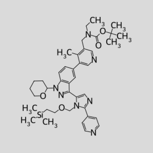 CCN(Cc1cncc(-c2ccc3c(c2)c(-c2cnc(-c4ccncc4)n2COCC[Si](C)(C)C)nn3C2CCCCO2)c1C)C(=O)OC(C)(C)C